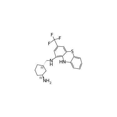 N[C@H]1CCC[C@H](CNc2cc(C(F)(F)F)cc3c2Nc2ccccc2S3)C1